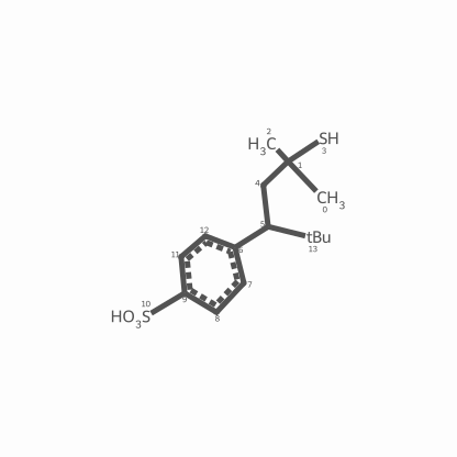 CC(C)(S)CC(c1ccc(S(=O)(=O)O)cc1)C(C)(C)C